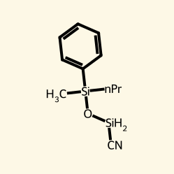 CCC[Si](C)(O[SiH2]C#N)c1ccccc1